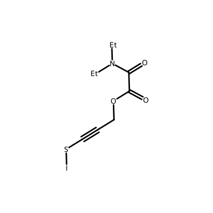 CCN(CC)C(=O)C(=O)OCC#CSI